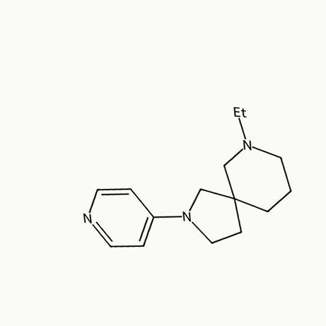 CCN1CCCC2(CCN(c3ccncc3)C2)C1